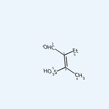 CCC([C]=O)=C(C)S(=O)(=O)O